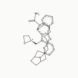 NC(=O)c1ccc2nc(CN3CC4CCC(C3)N4c3cccc(OCc4ccccc4F)n3)n(C[C@@H]3CCO3)c2c1